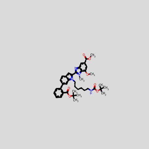 COC(=O)c1cc(OC)c2c(c1)nc(-c1cc3ccc(-c4ccccc4C(=O)OC(C)(C)C)cc3n1CCCCCCNC(=O)OC(C)(C)C)n2C